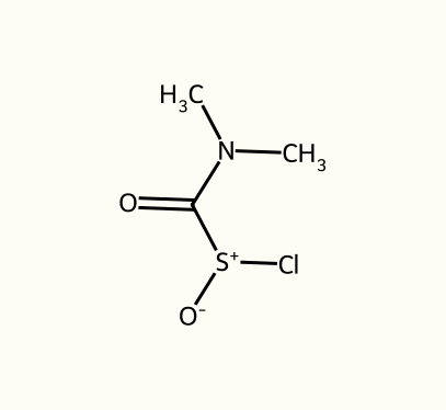 CN(C)C(=O)[S+]([O-])Cl